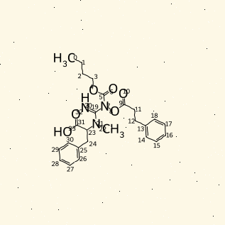 CCCCOC(=O)N(OC(=O)CCc1ccccc1)C(=N)N(C)C(Cc1ccccc1)C(=O)O